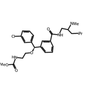 CNC(CNC(=O)c1cccc([C@@H](OCCNC(=O)OC)c2cccc(Cl)c2)c1)CC(C)C